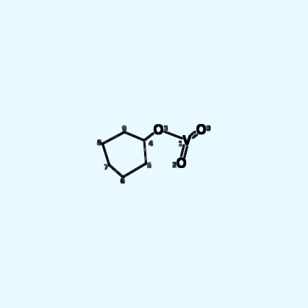 [O]=[V](=[O])[O]C1CCCCC1